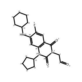 O=CCn1c(=O)c2cc(F)c(NC3CCCCC3)cc2n(C2CCCC2)c1=O